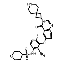 N#Cc1c(NS(=O)(=O)C2CCOCC2)ccc(F)c1Oc1ccc2ncn(C3CC4(CCNCC4)C3)c(=O)c2c1